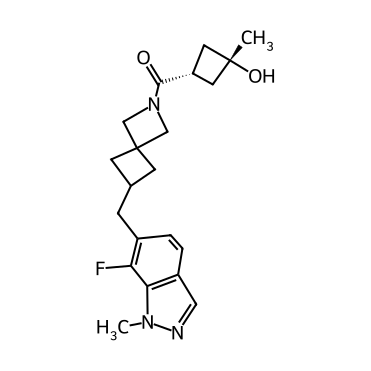 Cn1ncc2ccc(CC3CC4(C3)CN(C(=O)[C@H]3C[C@@](C)(O)C3)C4)c(F)c21